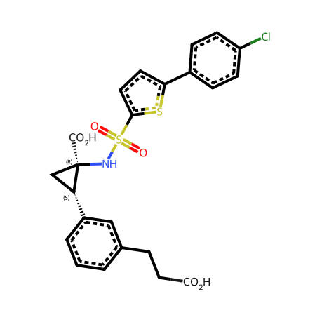 O=C(O)CCc1cccc([C@@H]2C[C@]2(NS(=O)(=O)c2ccc(-c3ccc(Cl)cc3)s2)C(=O)O)c1